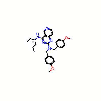 CCC[C@@H](CC)Nc1nc(N(Cc2ccc(OC)cc2)Cc2ccc(OC)cc2)nc2ccncc12